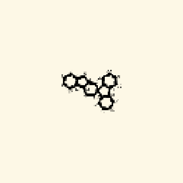 C1=CC2(C=C3C=c4ccccc4=C13)c1ccccc1-c1ccccc12